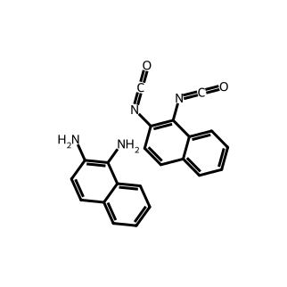 Nc1ccc2ccccc2c1N.O=C=Nc1ccc2ccccc2c1N=C=O